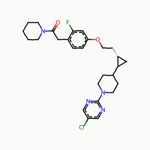 O=C(Cc1ccc(OCC[C@@H]2CC2C2CCN(c3ncc(Cl)cn3)CC2)cc1F)N1CCCCC1